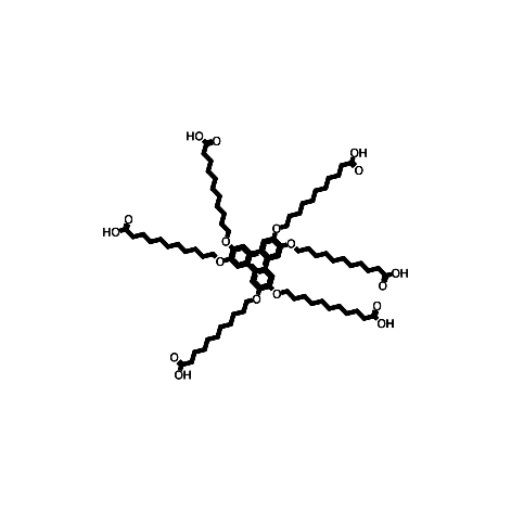 O=C(O)CCCCCCCCCCOc1cc2c3cc(OCCCCCCCCCCC(=O)O)c(OCCCCCCCCCCC(=O)O)cc3c3cc(OCCCCCCCCCCC(=O)O)c(OCCCCCCCCCCC(=O)O)cc3c2cc1OCCCCCCCCCCC(=O)O